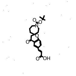 CC(C)(C)OC(=O)N1CCCC2(CC1)CC(=O)c1cc(/C=C/C(=O)O)ccc1O2